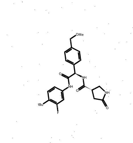 COCc1ccc([C@@H](NC(=O)[C@@H]2CNC(=O)C2)C(=O)Nc2ccc(C(C)(C)C)c(F)c2)cc1